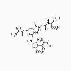 CC(O)C(N)C(=O)N1CCC[C@H]1C(=O)O.N=C(N)NCCCC(NC(=O)CN)C(=O)NCC(=O)NC(CS(=O)(=O)O)C(=O)O